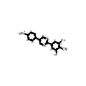 CCCc1ccc(-c2cnc(-c3cc(F)c(C#N)c(F)c3)nc2)cc1